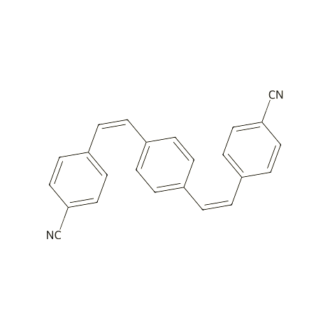 N#Cc1ccc(/C=C\c2ccc(/C=C\c3ccc(C#N)cc3)cc2)cc1